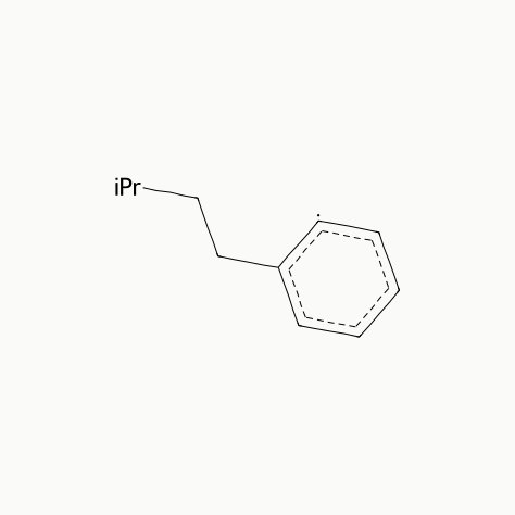 CC(C)CCc1[c]cccc1